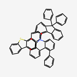 c1ccc(-c2ccccc2-c2c(-c3ccccc3)cccc2N(c2ccc3c(c2)sc2ccccc23)c2cccc3c2-c2ccccc2C3(c2ccccc2)c2ccccc2)cc1